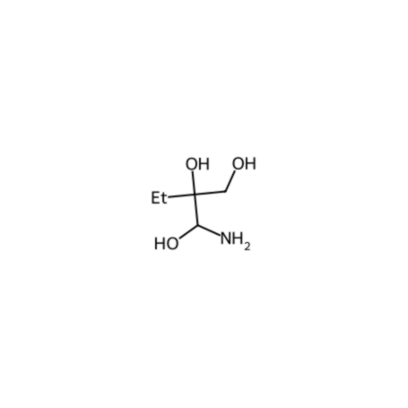 CCC(O)(CO)C(N)O